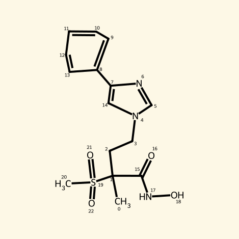 CC(CCn1cnc(-c2ccccc2)c1)(C(=O)NO)S(C)(=O)=O